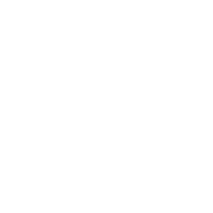 CCO[Si](OCC)(OCC)/C1=C/C=C\C=C/CC1